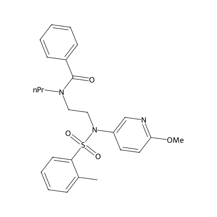 CCCN(CCN(c1ccc(OC)nc1)S(=O)(=O)c1ccccc1C)C(=O)c1ccccc1